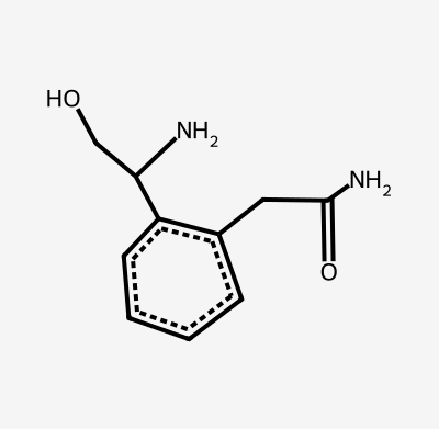 NC(=O)Cc1ccccc1C(N)CO